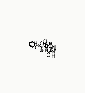 CC(C)(C)N(C(=O)COc1ccccc1)c1nc2nc[nH]c2c(=O)[nH]1